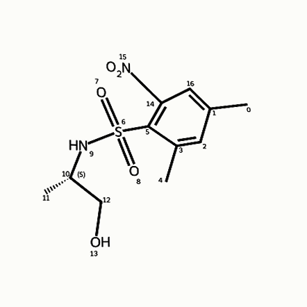 Cc1cc(C)c(S(=O)(=O)N[C@@H](C)CO)c([N+](=O)[O-])c1